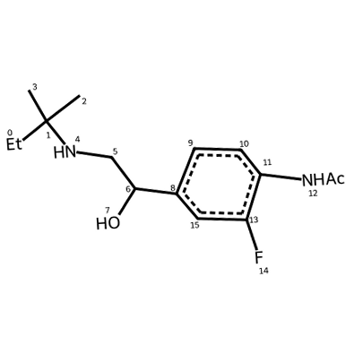 CCC(C)(C)NCC(O)c1ccc(NC(C)=O)c(F)c1